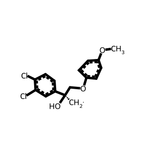 [CH2][C@@](O)(COc1ccc(OC)cc1)c1ccc(Cl)c(Cl)c1